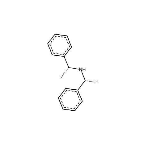 C[C@@H](N[C@H](C)c1ccccc1)c1ccccc1